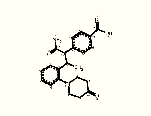 CC(c1ccccc1N1CCC(=O)CC1)C(C(N)=O)c1ccc(C(=O)O)cc1